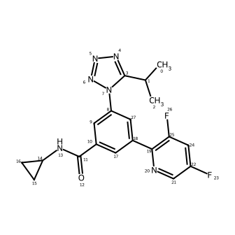 CC(C)c1nnnn1-c1cc(C(=O)NC2CC2)cc(-c2ncc(F)cc2F)c1